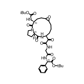 CC(C)COC(=O)N[C@H]1CCC2OC2CCCC(C(=O)C(=O)NCC(=O)N[C@H](C(=O)OC(C)(C)C)c2ccccc2)NC(=O)[C@@H]2CCCN2C1=O